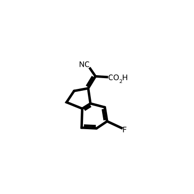 N#CC(C(=O)O)=C1CCc2ccc(F)cc21